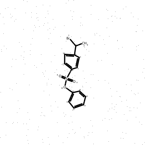 CC(Br)c1ccc(S(=O)(=O)Oc2ccccc2)cc1